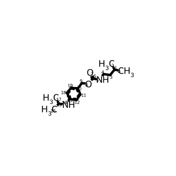 CC(C)CCNC(=O)OCc1ccc(NC(C)C)cc1